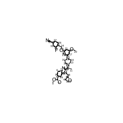 COC(=O)c1ccc2nc([C@H](C)N3CCN(c4cc(OC)cc(OCc5ccc(C#N)cc5F)n4)CC3)n(C[C@@H]3CCO3)c2c1